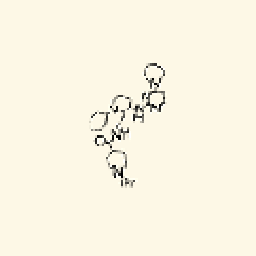 CC(C)N1CCC(C(=O)NCCC2C(Nc3nccc(N4CCCCCC4)n3)CCCN2C2CCCCC2)CC1